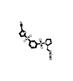 N#Cc1ccc(S(=O)(=O)c2cccc(S(=O)(=O)N3CCC[C@H]3CN=[N+]=[N-])c2)s1